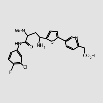 CNC(CC(N)c1ccc(-c2ccc(CC(=O)O)nc2)s1)C(=O)Nc1ccc(F)c(Cl)c1